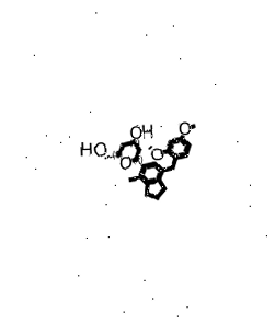 COc1ccc(Cc2cc([C@H]3C[C@@H](O)C[C@@H](CO)O3)c(C)c3c2CCC3)c(OC)c1